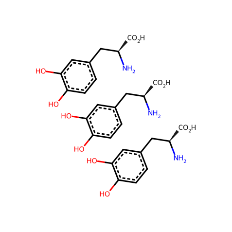 N[C@@H](Cc1ccc(O)c(O)c1)C(=O)O.N[C@@H](Cc1ccc(O)c(O)c1)C(=O)O.N[C@@H](Cc1ccc(O)c(O)c1)C(=O)O